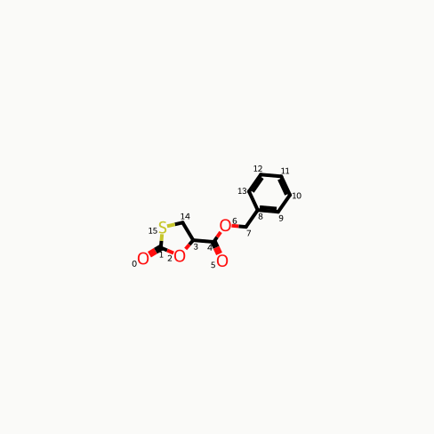 O=C1OC(C(=O)OCc2ccccc2)CS1